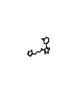 CN1CCC=C(c2nsnc2SCCCc2cccs2)C1